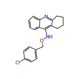 Clc1ccc(CONc2c3c(nc4ccccc24)CCCC3)cc1